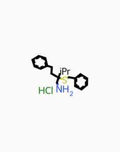 CC(C)C(CN)(CCc1ccccc1)SCc1ccccc1.Cl